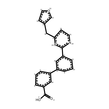 O=C(O)c1cccc(-c2cccc(-c3nccc(Cc4ccoc4)n3)c2)c1